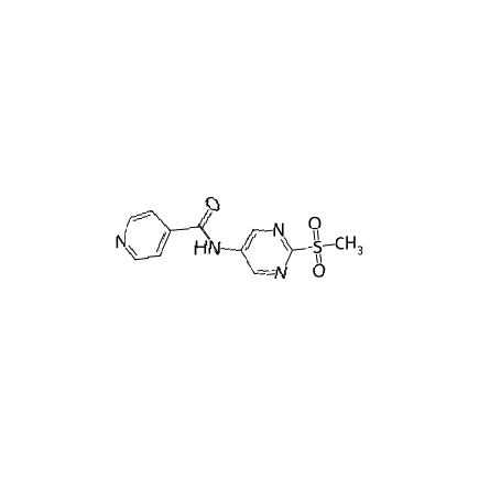 CS(=O)(=O)c1ncc(NC(=O)c2ccncc2)cn1